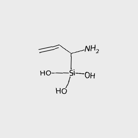 C=CC(N)[Si](O)(O)O